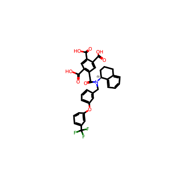 O=C(O)c1cc(C(=O)O)c(C(=O)N(Cc2cccc(Oc3cccc(C(F)(F)F)c3)c2)[C@H]2CCCc3ccccc32)cc1C(=O)O